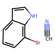 Brc1cccc2cc[nH]c12.C#N